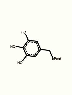 [CH2]CCCCCc1cc(O)c(O)c(O)c1